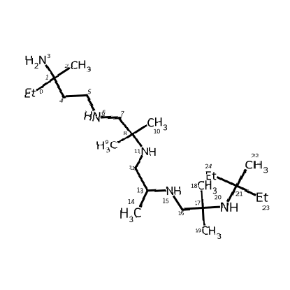 CCC(C)(N)CCNCC(C)(C)NCC(C)NCC(C)(C)NC(C)(CC)CC